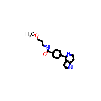 COCCCNC(=O)c1ccc(-c2nccc3[nH]ccc23)cc1